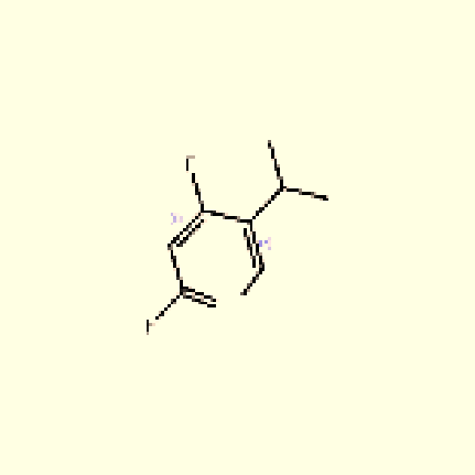 C=C(F)/C=C(F)\C(=C/C)C(C)C